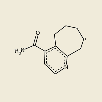 NC(=O)c1ccnc2c1CCC[C]C2